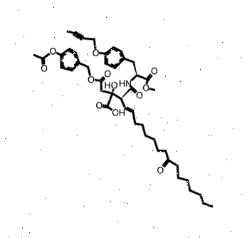 CC#CCOc1ccc(C[C@H](NC(=O)[C@@H](/C=C/CCCCCCC(=O)CCCCCCC)[C@@](O)(CC(=O)OCc2ccc(OC(C)=O)cc2)C(=O)O)C(=O)OC)cc1